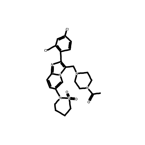 CC(=O)N1CCN(Cc2c(-c3ccc(Cl)cc3Cl)nc3ccc(N4CCCCS4(=O)=O)cn23)CC1